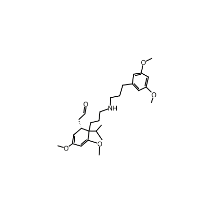 COC1=C[C@H](CC=O)C(CCCNCCCc2cc(OC)cc(OC)c2)(C(C)C)C(OC)=C1